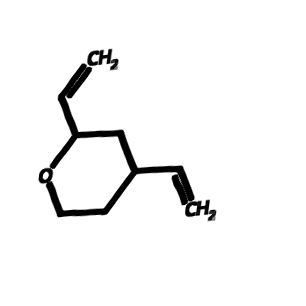 C=CC1CCOC(C=C)C1